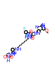 CCOc1cc(-c2ccc(N3CCC(NC(=O)c4cc(F)ccc4F)(C(=O)NCCCCCCCCCCNc4cccc5c(N6CCC(=O)NC6=O)nn(C)c45)CC3)nc2)c2c(C#N)cnn2c1